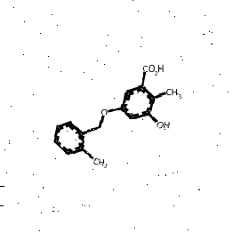 Cc1ccccc1COc1cc(O)c(C)c(C(=O)O)c1